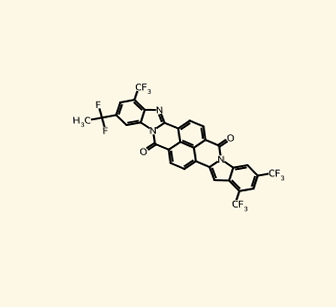 CC(F)(F)c1cc(C(F)(F)F)c2nc3c4ccc5c(=O)n6c7cc(C(F)(F)F)cc(C(F)(F)F)c7cc6c6ccc(c(=O)n3c2c1)c4c56